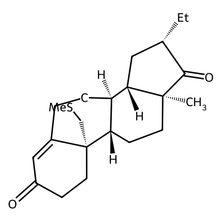 CC[C@H]1C[C@H]2[C@@H]3CCC4=CC(=O)CC[C@]4(CSC)[C@H]3CC[C@]2(C)C1=O